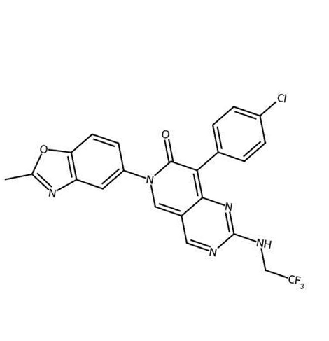 Cc1nc2cc(-n3cc4cnc(NCC(F)(F)F)nc4c(-c4ccc(Cl)cc4)c3=O)ccc2o1